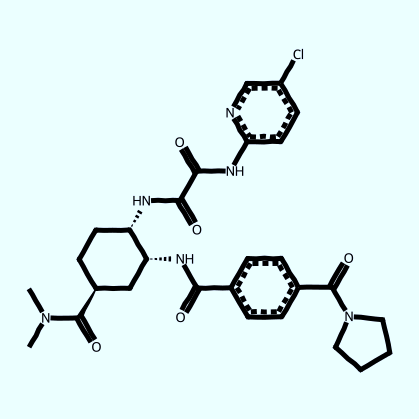 CN(C)C(=O)[C@H]1CC[C@H](NC(=O)C(=O)Nc2ccc(Cl)cn2)[C@H](NC(=O)c2ccc(C(=O)N3CCCC3)cc2)C1